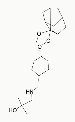 COC1(OO[C@H]2CC[C@@H](CNCC(C)(C)O)CC2)C2CC3CC(C2)CC1C3